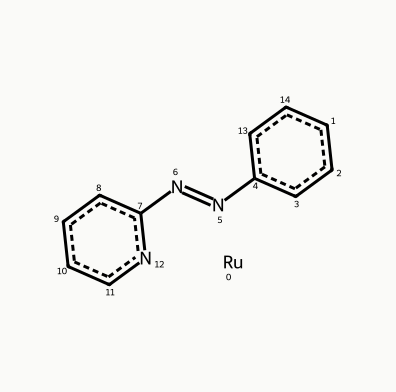 [Ru].c1ccc(N=Nc2ccccn2)cc1